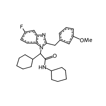 COc1cccc(Cc2nc3cc(F)ccc3n2C(C(=O)NC2CCCCC2)C2CCCCC2)c1